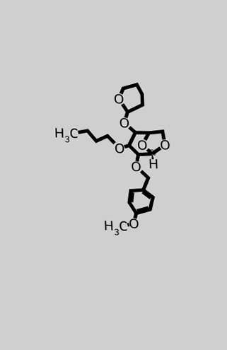 CCCCOC1C(OC2CCCCO2)C2CO[C@H](O2)C1OCc1ccc(OC)cc1